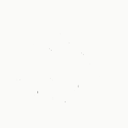 O=C(O)C(N(CCN(C(C(=O)O)P(=O)(O)O)C(C(=O)O)P(=O)(O)O)CCN(C(C(=O)O)P(=O)(O)O)C(C(=O)O)P(=O)(O)O)P(=O)(O)O